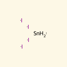 [I].[I].[I].[I].[SnH2]